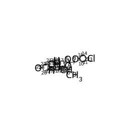 CCCC1(OC(=O)COc2ccc(Cl)cc2)CC[C@H]2[C@@H]3CCC4=CC(=O)CC[C@]4(C)[C@@H]3CC[C@@]21C